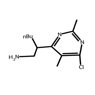 CCCCC(CN)c1nc(C)nc(Cl)c1C